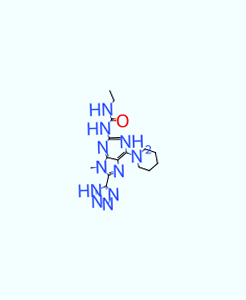 C=C(/N=C1\C(=C(/N)N2CCCCC2)N=C(c2nnn[nH]2)N1C)NC(=O)NCC